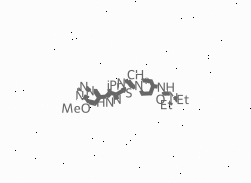 CCN(CC)CC(=O)NC1CCN(c2sc(-c3n[nH]c(-c4cc(OC)c5ncnn5c4)c3C(C)C)nc2C)CC1